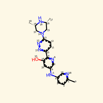 Cc1ccc(Nc2cnc(-c3ccc(N4C[C@@H](C)N[C@@H](C)C4)nn3)c(O)c2)cn1